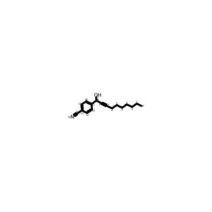 CCCCCCCC#CC(O)c1ccc(C#N)cc1